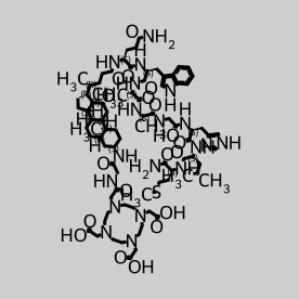 CSCC[C@H](NC(=O)[C@H](CC(C)C)NC(=O)[C@H](Cc1c[nH]cn1)NC(=O)CNC(=O)[C@H](C)NC(=O)[C@H](C)NC(=O)[C@H](Cc1c[nH]c2ccccc12)NC(=O)[C@H](CCC(N)=O)NC(=O)CC[C@@H](C)[C@H]1CC[C@H]2[C@@H]3CC[C@@H]4C[C@@H](NC(=O)CNC(=O)CN5CCN(CC(=O)O)CCN(CC(=O)O)CCN(CC(=O)O)CC5)CC[C@]4(C)[C@H]3CC(=O)[C@]12C)C(N)=O